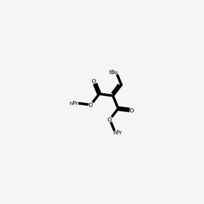 CCCOC(=O)C(=CC(C)(C)C)C(=O)OCCC